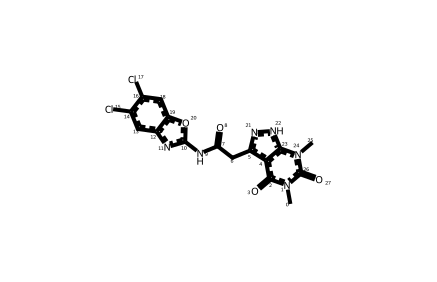 Cn1c(=O)c2c(CC(=O)Nc3nc4cc(Cl)c(Cl)cc4o3)n[nH]c2n(C)c1=O